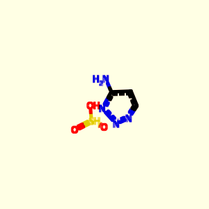 Nc1ccnnn1.O=[SH](=O)O